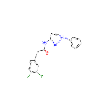 O=C(Cc1ccc(F)c(F)c1)Nc1ccn(-c2ccccc2)n1